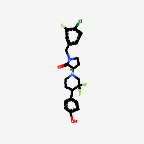 O=C1[C@@H](N2CCC(c3ccc(O)cc3)C(F)(F)C2)CCN1Cc1ccc(Cl)c(F)c1